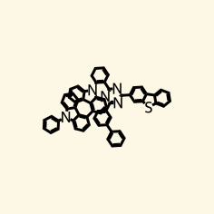 C1=CC(c2nc(-c3cccc(-c4ccccc4)c3)nc(-c3ccc4c(c3)sc3ccccc34)n2)=C(n2c3ccccc3c3c(-c4cccc5c4c4ccccc4n5-c4ccccc4)cccc32)CC1